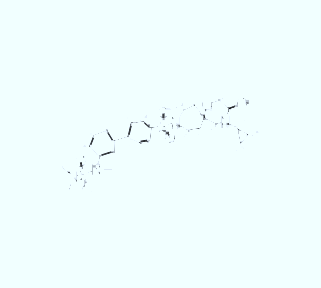 CN(C)S(=O)(=O)Nc1cccc(-c2ccc(S(=O)(=O)N3CCC4(CC3)CN(C3CC3)C(=O)CO4)cc2)c1